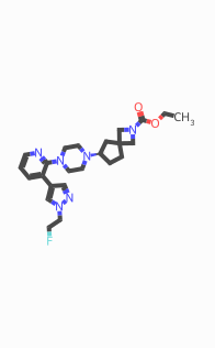 CCOC(=O)N1CC2(CC[C@@H](N3CCN(c4ncccc4-c4cnn(CCF)c4)CC3)C2)C1